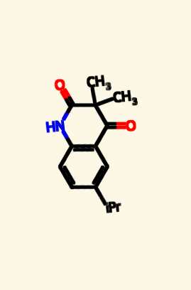 CC(C)c1ccc2c(c1)C(=O)C(C)(C)C(=O)N2